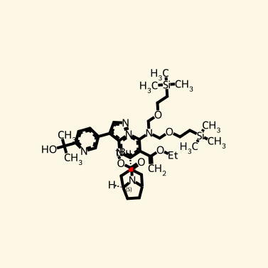 C=C(OCC)c1c([C@@H]2CC3CC[C@@H](C2)N3C(=O)OC(C)(C)C)nc2c(-c3ccc(C(C)(C)O)nc3)cnn2c1N(COCC[Si](C)(C)C)COCC[Si](C)(C)C